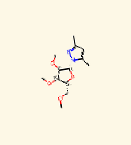 COC[C@H]1O[C@@H](n2nc(C)cc2C)[C@H](OC)[C@@H]1OC